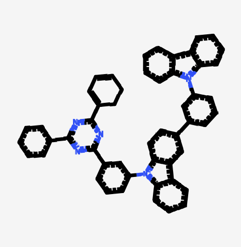 C1=CCCC(c2nc(-c3ccccc3)nc(-c3cccc(-n4c5ccccc5c5cc(-c6cccc(-n7c8ccccc8c8ccccc87)c6)ccc54)c3)n2)=C1